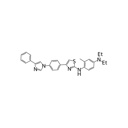 CCN(CC)c1ccc(Nc2nc(-c3ccc(-n4cnc(-c5ccccc5)c4)cc3)cs2)c(C)c1